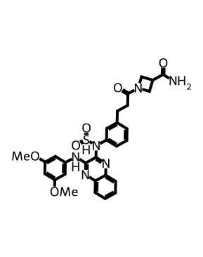 COc1cc(Nc2nc3ccccc3nc2N(c2cccc(CCC(=O)N3CC(C(N)=O)C3)c2)[SH](=O)=O)cc(OC)c1